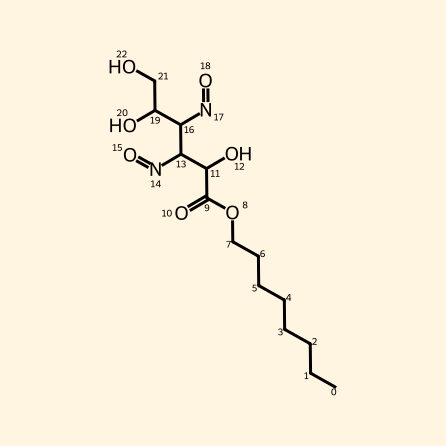 CCCCCCCCOC(=O)C(O)C(N=O)C(N=O)C(O)CO